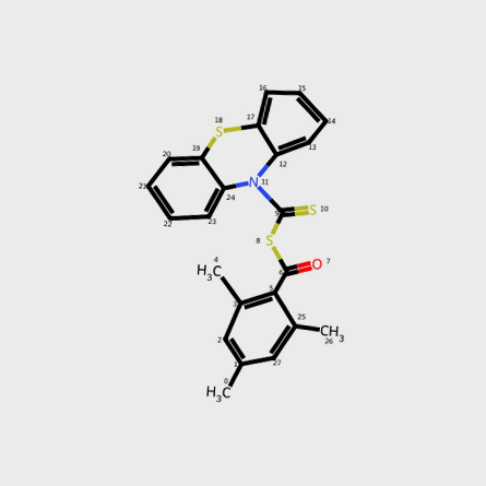 Cc1cc(C)c(C(=O)SC(=S)N2c3ccccc3Sc3ccccc32)c(C)c1